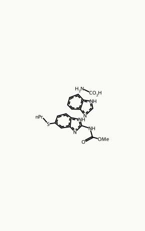 CCCSc1ccc2[nH]c(NC(=O)OC)nc2c1.NC(=O)O.c1ccc2[nH]cnc2c1